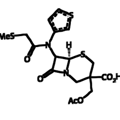 CSCC(=O)N(c1ccsc1)C1C(=O)N2CC(COC(C)=O)(C(=O)O)CS[C@H]12